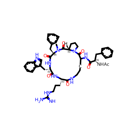 CC(=O)N[C@@H](Cc1ccccc1)C(=O)NC1CCCNC(=O)[C@H](CCCNC(=N)N)NC(=O)[C@H](Cc2c[nH]c3ccccc23)NC(=O)[C@@H](Cc2ccccc2)N(C)C(=O)[C@@H]2CCCN2C1=O